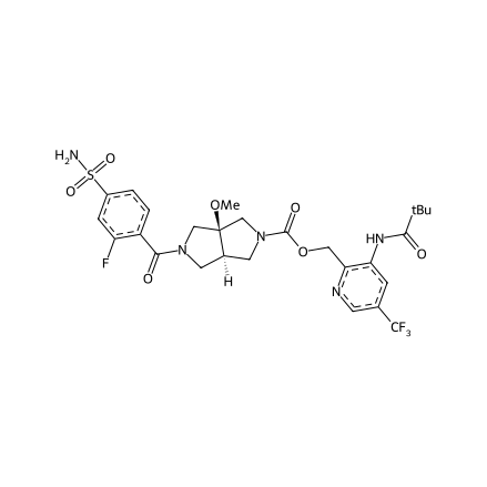 CO[C@@]12CN(C(=O)OCc3ncc(C(F)(F)F)cc3NC(=O)C(C)(C)C)C[C@H]1CN(C(=O)c1ccc(S(N)(=O)=O)cc1F)C2